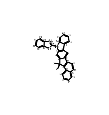 CC1(C)c2cc3c(cc2-c2ccc4ccccc4c21)c1ccccc1n3-c1nc2ccccc2o1